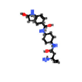 C[C@@H](N)CC(=O)NC1CCC(NC(=O)c2ccc3c(c2)CC(=O)N3)CC1